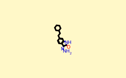 NN=C1C(=O)Nc2cc(CCC3CCCCC3)ccc21